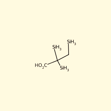 O=C(O)C([SiH3])([SiH3])C[SiH3]